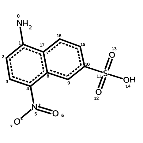 Nc1[c]cc([N+](=O)[O-])c2cc(S(=O)(=O)O)ccc12